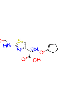 O=CNc1nc(/C(=N/OC2=CCCC2)C(=O)O)cs1